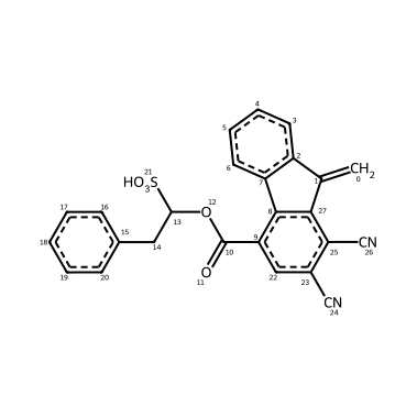 C=C1c2ccccc2-c2c(C(=O)OC(Cc3ccccc3)S(=O)(=O)O)cc(C#N)c(C#N)c21